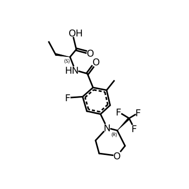 CC[C@H](NC(=O)c1c(C)cc(N2CCOC[C@@H]2C(F)(F)F)cc1F)C(=O)O